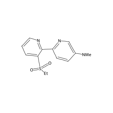 CCS(=O)(=O)c1cccnc1-c1ccc(NC)cn1